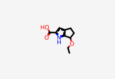 CCOC1CCc2cc(C(=O)O)[nH]c21